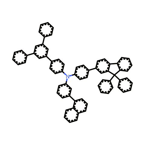 c1ccc(-c2cc(-c3ccccc3)cc(-c3ccc(N(c4ccc(-c5ccc6c(c5)C(c5ccccc5)(c5ccccc5)c5ccccc5-6)cc4)c4cccc(-c5cccc6ccccc56)c4)cc3)c2)cc1